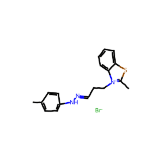 Cc1ccc(NN=CCC[n+]2c(C)sc3ccccc32)cc1.[Br-]